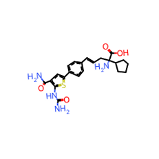 NC(=O)Nc1sc(-c2ccc(C=CC[C@](N)(C(=O)O)C3CCCC3)cc2)cc1C(N)=O